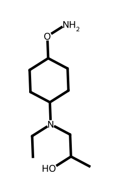 CCN(CC(C)O)C1CCC(ON)CC1